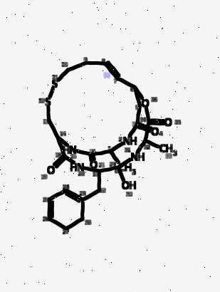 CC1NC(=O)CC2/C=C/CCSSCC(NC1=O)C(=O)NC(CC1=CC=CCC1)C(O)NC(C)C(=O)O2